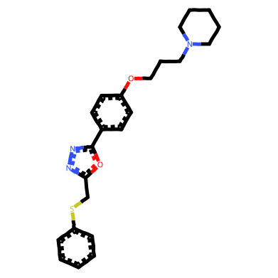 c1ccc(SCc2nnc(-c3ccc(OCCCN4CCCCC4)cc3)o2)cc1